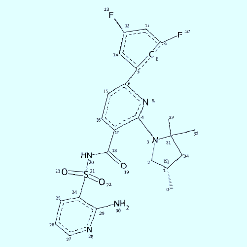 C[C@@H]1CN(c2nc(-c3cc(F)cc(F)c3)ccc2C(=O)NS(=O)(=O)c2cccnc2N)C(C)(C)C1